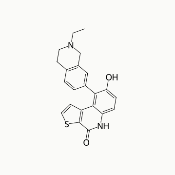 CCN1CCc2ccc(-c3c(O)ccc4[nH]c(=O)c5sccc5c34)cc2C1